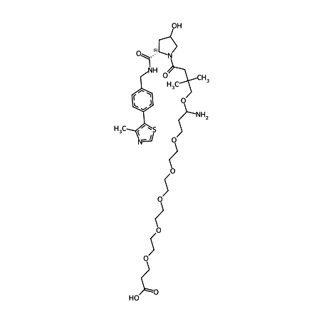 Cc1ncsc1-c1ccc(CNC(=O)[C@@H]2CC(O)CN2C(=O)CC(C)(C)COC(N)CCOCCOCCOCCOCCOCCC(=O)O)cc1